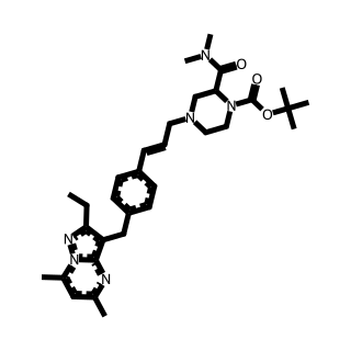 CCc1nn2c(C)cc(C)nc2c1Cc1ccc(C=CCN2CCN(C(=O)OC(C)(C)C)C(C(=O)N(C)C)C2)cc1